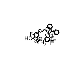 C[C@H](CCOc1cc(F)c(CO)c(S(C)(=O)=O)c1)N(Cc1cccc(C(F)(F)F)c1Cl)CC(c1ccccc1)c1ccccc1